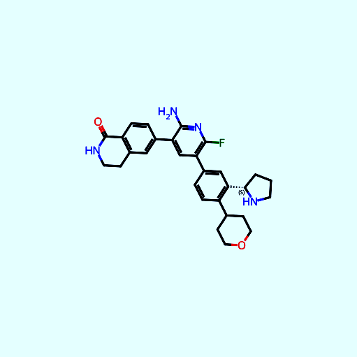 Nc1nc(F)c(-c2ccc(C3CCOCC3)c([C@@H]3CCCN3)c2)cc1-c1ccc2c(c1)CCNC2=O